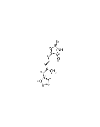 CC(/C=C/C=C1/SC(=S)NC1=O)=C\c1ccco1